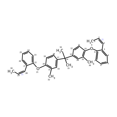 C/C=C\c1ccccc1Oc1ccc(C(C)(C)c2ccc(Oc3ccccc3/C=C\C)c(C)c2)cc1C